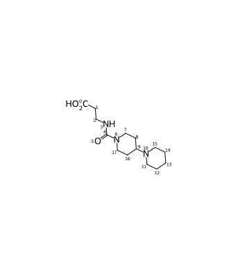 O=C(O)CCNC(=O)N1CCC(N2CCCCC2)CC1